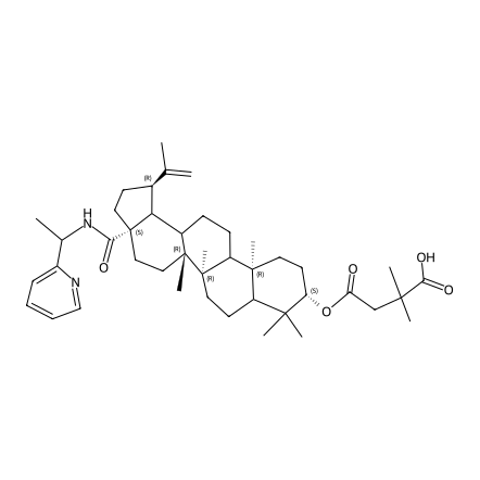 C=C(C)[C@@H]1CC[C@]2(C(=O)NC(C)c3ccccn3)CC[C@]3(C)C(CCC4[C@@]5(C)CC[C@H](OC(=O)CC(C)(C)C(=O)O)C(C)(C)C5CC[C@]43C)C12